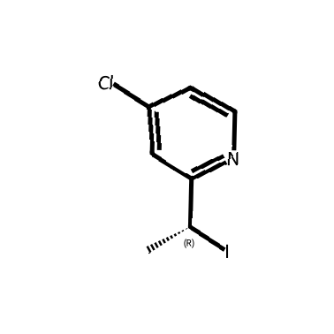 C[C@@H](I)c1cc(Cl)ccn1